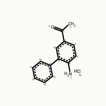 CC(=O)c1ccc(N)c(-c2ccccc2)c1.Cl